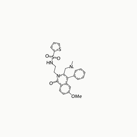 COc1ccc2c(=O)n(CCNS(=O)(=O)c3cccs3)c(CN(C)C)c(-c3ccccc3)c2c1